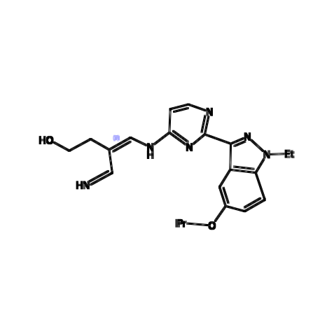 CCn1nc(-c2nccc(N/C=C(\C=N)CCO)n2)c2cc(OC(C)C)ccc21